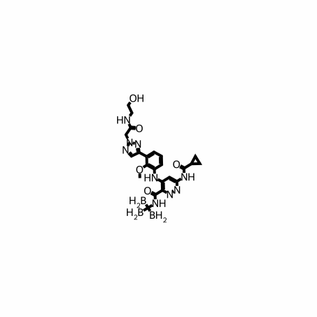 BC(B)(B)NC(=O)c1nnc(NC(=O)C2CC2)cc1Nc1cccc(-c2cnn(CC(=O)NCCO)n2)c1OC